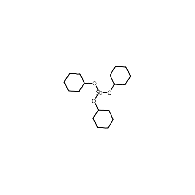 C1CCC([O][Sb]([O]C2CCCCC2)[O]C2CCCCC2)CC1